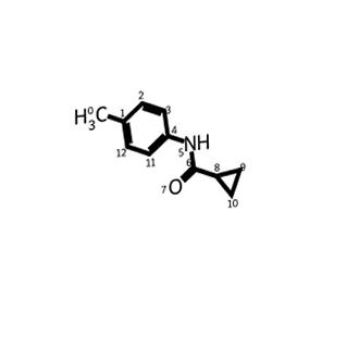 Cc1ccc(NC(=O)C2CC2)cc1